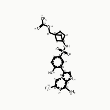 N#Cc1ccc(S(=O)(=O)NC23CCC(COC(=O)C(F)(F)F)(C2)C3)cc1-c1cnc2c(N)nc(C(F)(F)F)cn12